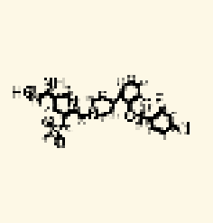 C[C@]1(c2ccc(Cl)cc2F)Oc2cccc(C3CCN(Cc4ncc(C(N)=NO)cc4CS(C)(=O)=O)CC3)c2O1